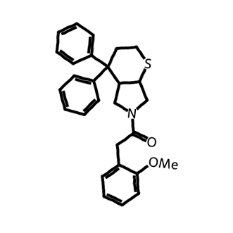 COc1ccccc1CC(=O)N1CC2SCCC(c3ccccc3)(c3ccccc3)C2C1